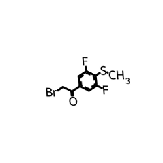 CSc1c(F)cc(C(=O)CBr)cc1F